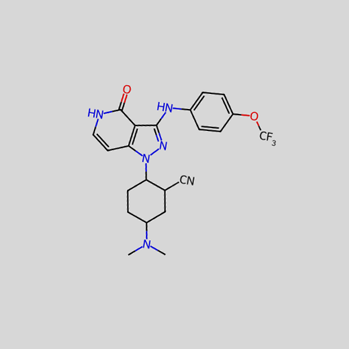 CN(C)C1CCC(n2nc(Nc3ccc(OC(F)(F)F)cc3)c3c(=O)[nH]ccc32)C(C#N)C1